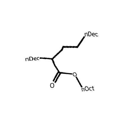 CCCCCCCCCCCCC(CCCCCCCCCC)C(=O)OCCCCCCCC